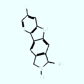 CN1Cc2cc3c(cc2C1O)[nH]c1cc(Br)cnc13